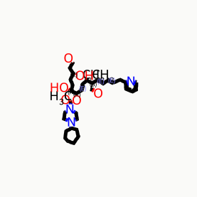 C/C(=C\C=C\Cc1ccccn1)[C@@H](C=O)[C@@H](C)/C=C/[C@@H](OC(=O)N1CCN(C2CCCCCC2)CC1)[C@](C)(O)CC[C@@H](O)CC=O